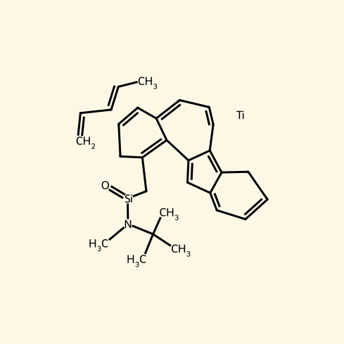 C=CC=CC.CN([Si](=O)CC1=c2c(cccc3c4c(cc2-3)=CC=CC4)C=CC1)C(C)(C)C.[Ti]